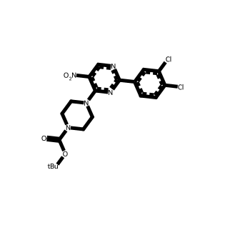 CC(C)(C)OC(=O)N1CCN(c2nc(-c3ccc(Cl)c(Cl)c3)ncc2[N+](=O)[O-])CC1